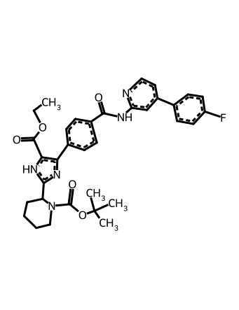 CCOC(=O)c1[nH]c(C2CCCCN2C(=O)OC(C)(C)C)nc1-c1ccc(C(=O)Nc2cc(-c3ccc(F)cc3)ccn2)cc1